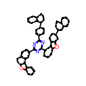 c1ccc2cc(-c3ccc4c(c3)oc3cccc(-c5nc(-c6ccc(-c7cccc8ccccc78)cc6)nc(-c6ccc7ccc8oc9ccccc9c8c7c6)n5)c34)ccc2c1